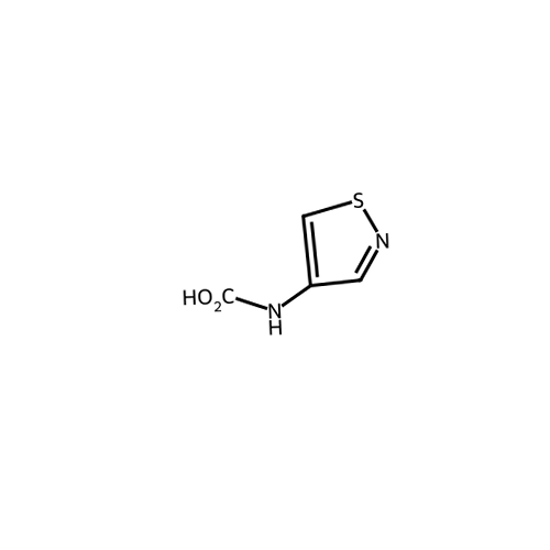 O=C(O)Nc1cnsc1